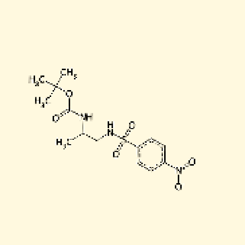 CC(CNS(=O)(=O)c1ccc([N+](=O)[O-])cc1)NC(=O)OC(C)(C)C